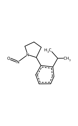 CC(C)c1ccccc1C1CCCN1N=O